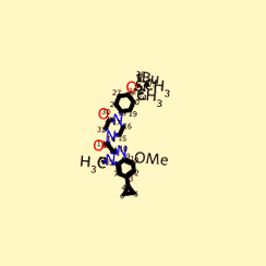 COc1cc(C2CC2)cc2c1nc(C(=O)N1CCN(C3CCC(O[Si](C)(C)C(C)(C)C)CC3)C(=O)C1)n2C